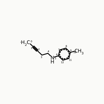 [CH2]C#CCCNc1ccc(C)cc1